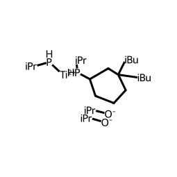 CC(C)[O-].CC(C)[O-].CC(C)[PH][Ti+2].CCC(C)C1(C(C)CC)CCCC(PC(C)C)C1